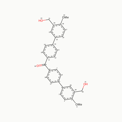 COc1ccc(-c2ccc(C(=O)c3ccc(-c4ccc(OC)c(CO)c4)cc3)cc2)cc1CO